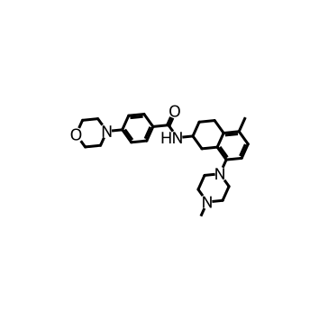 Cc1ccc(N2CCN(C)CC2)c2c1CCC(NC(=O)c1ccc(N3CCOCC3)cc1)C2